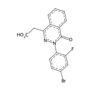 O=C(O)Cc1nn(-c2ccc(Br)cc2F)c(=O)c2ccccc12